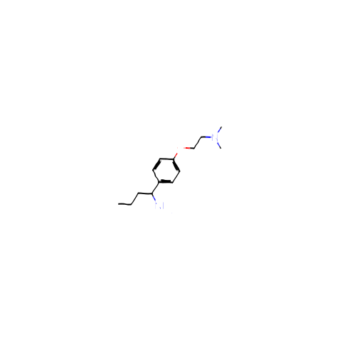 CCCC(N)c1ccc(OCCN(C)C)cc1